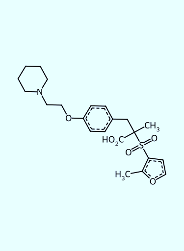 Cc1occc1S(=O)(=O)C(C)(Cc1ccc(OCCN2CCCCC2)cc1)C(=O)O